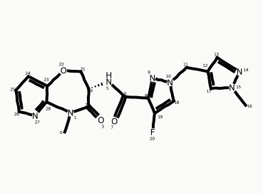 CN1C(=O)[C@@H](NC(=O)c2nn(Cc3cnn(C)c3)cc2F)COc2cccnc21